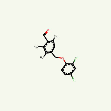 Cc1cc(COc2ccc(Cl)cc2Cl)c(C)c(C)c1C=O